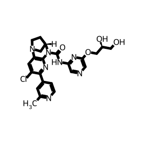 Cc1cc(-c2nc3c(cc2Cl)N2CC[C@@H](C2)N3C(=O)Nc2cncc(OC[C@@H](O)CO)n2)ccn1